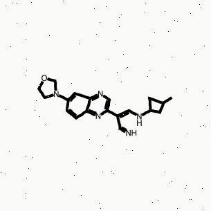 CC1CC(N/C=C(\C=N)c2cnc3cc(N4CCOC4)ccc3n2)C1